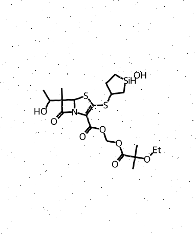 CCOC(C)(C)C(=O)OCOC(=O)C1=C(SC2CC[SiH](O)C2)SC2N1C(=O)C2(C)C(C)O